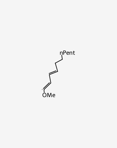 CCCCCCCC=CC=[C]OC